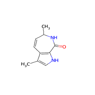 Cc1c[nH]c2c1C=CC(C)NC2=O